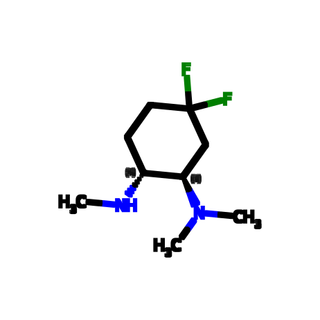 CN[C@@H]1CCC(F)(F)C[C@H]1N(C)C